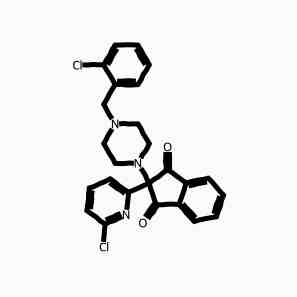 O=C1c2ccccc2C(=O)C1(c1cccc(Cl)n1)N1CCN(Cc2ccccc2Cl)CC1